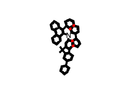 CC1(C)c2cc(-c3ccccc3)ccc2-c2ccc(N(c3ccccc3-c3ccccc3)c3c(-c4ccccc4)c4ccccc4c4ccccc34)cc21